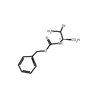 CCC(N)[C@H](NC(=O)OCc1ccccc1)C(=O)O